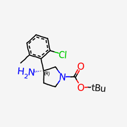 Cc1cccc(Cl)c1[C@]1(N)CCN(C(=O)OC(C)(C)C)C1